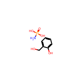 NP(=O)(O)O.OCc1ccccc1O